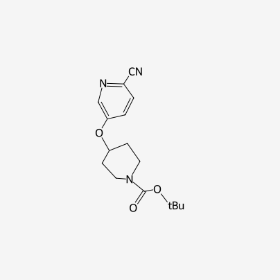 CC(C)(C)OC(=O)N1CCC(Oc2ccc(C#N)nc2)CC1